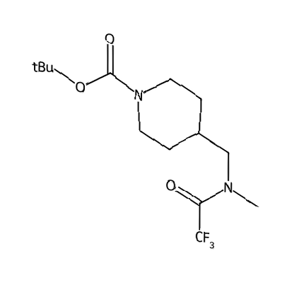 CN(CC1CCN(C(=O)OC(C)(C)C)CC1)C(=O)C(F)(F)F